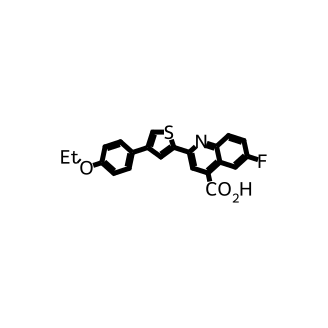 CCOc1ccc(-c2csc(-c3cc(C(=O)O)c4cc(F)ccc4n3)c2)cc1